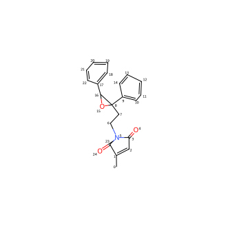 CC1=CC(=O)N(CCC2(c3ccccc3)OC2c2ccccc2)C1=O